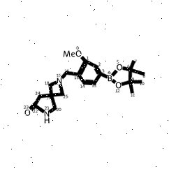 COc1cc(B2OC(C)(C)C(C)(C)O2)ccc1CN1CC2(CNC(=O)C2)C1